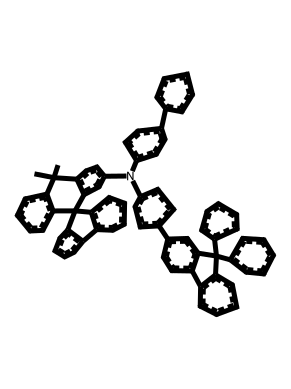 CC1(C)c2ccccc2C2(c3ccccc3-c3ccccc32)c2cc(N(c3ccc(-c4ccccc4)cc3)c3ccc(-c4ccc5c(c4)C(c4ccccc4)(c4ccccc4)c4ccccc4-5)cc3)ccc21